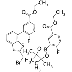 CCOC(=O)c1ccc(F)c(-c2cccc3cc(CBr)sc23)c1.CCOC(=O)c1ccc(F)c(B2OC(C)(C)C(C)(C)O2)c1